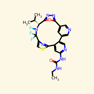 CCNC(=O)Nc1cc2c(cn1)-c1cncc(c1)-c1nnc(o1)[C@@H](C(C)C)N(F)C(F)(F)c1csc-2n1